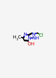 CC1=NC2=CN(CCl)NN2C(O)=C1